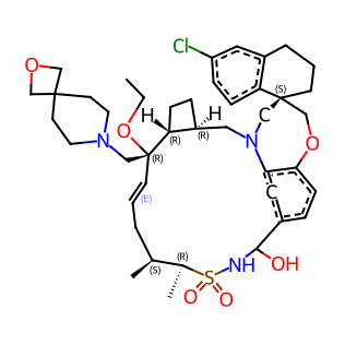 CCO[C@@]1(CN2CCC3(CC2)COC3)/C=C/C[C@H](C)[C@@H](C)S(=O)(=O)NC(O)c2ccc3c(c2)N(C[C@@H]2CC[C@H]21)C[C@@]1(CCCc2cc(Cl)ccc21)CO3